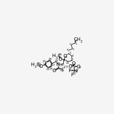 C=CCCC[C@@H]1C[C@H](OS(=O)(=O)C(F)(F)F)C[C@](OC)([C@@H]2CSC(=O)N2Cc2ccc(OC)cc2)O1